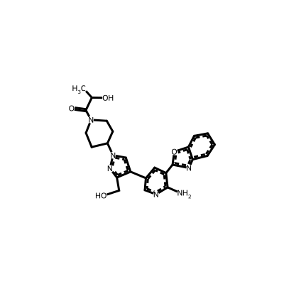 CC(O)C(=O)N1CCC(n2cc(-c3cnc(N)c(-c4nc5ccccc5o4)c3)c(CO)n2)CC1